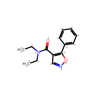 CCN(CC)C(=O)c1cnoc1-c1ccccc1